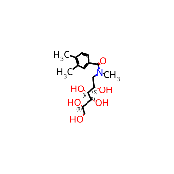 Cc1ccc(C(=O)N(C)C[C@H](O)[C@@H](O)[C@H](O)[C@H](O)CO)cc1C